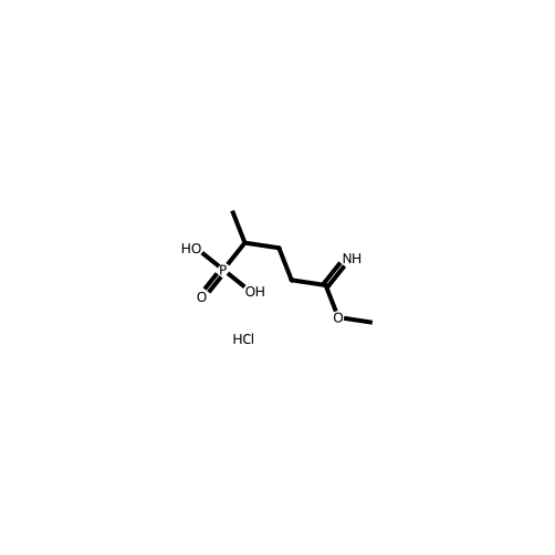 COC(=N)CCC(C)P(=O)(O)O.Cl